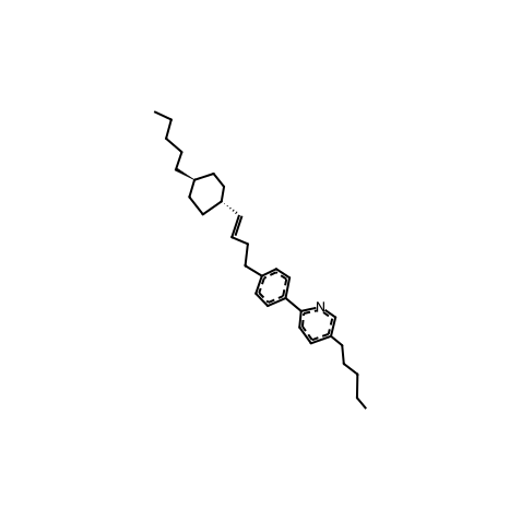 CCCCCc1ccc(-c2ccc(CCC=C[C@H]3CC[C@H](CCCCC)CC3)cc2)nc1